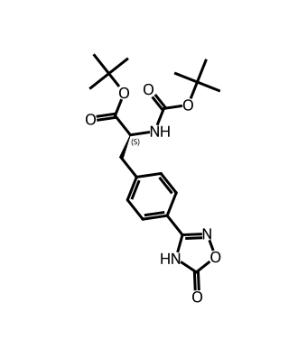 CC(C)(C)OC(=O)N[C@@H](Cc1ccc(-c2noc(=O)[nH]2)cc1)C(=O)OC(C)(C)C